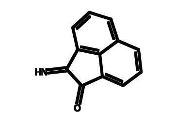 N=C1C(=O)c2cccc3cccc1c23